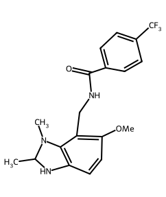 COc1ccc2c(c1CNC(=O)c1ccc(C(F)(F)F)cc1)N(C)C(C)N2